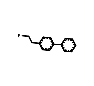 BrCCc1ccc(-c2ccccc2)cc1